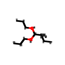 [CH2]C[SiH2]C(OCCC)OCCC